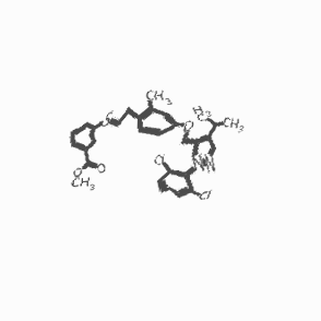 COC(=O)c1cccc(SCCc2ccc(OCc3c(C(C)C)cnn3-c3c(Cl)cccc3Cl)cc2C)c1